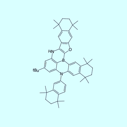 CC(C)(C)c1cc2c3c(c1)N(c1ccc4c(c1)C(C)(C)CCC4(C)C)c1cc4c(cc1B3c1oc3cc5c(cc3c1N2)C(C)(C)CCC5(C)C)C(C)(C)CCC4(C)C